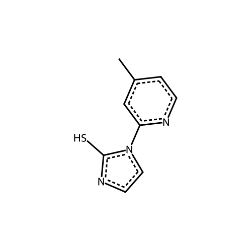 Cc1ccnc(-n2ccnc2S)c1